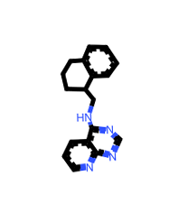 c1ccc2c(c1)CCCC2CNc1ncnc2ncccc12